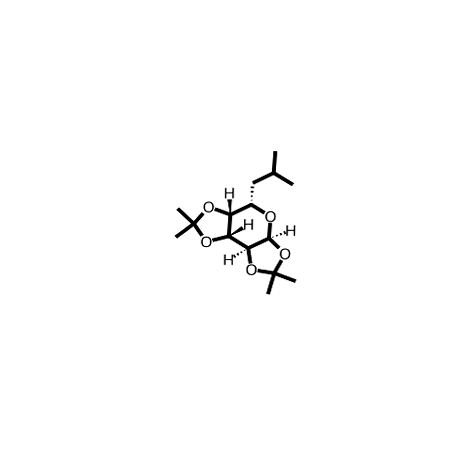 CC(C)C[C@@H]1O[C@H]2OC(C)(C)O[C@H]2[C@@H]2OC(C)(C)O[C@@H]21